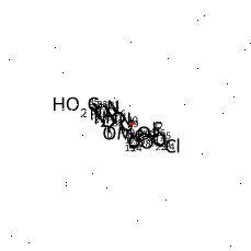 COC(C)Cn1c(CN2CCC(c3cccc4c3O[C@@](C)(c3ccc(Cl)cc3F)O4)CC2)nc2cc(C(=O)O)nnc21